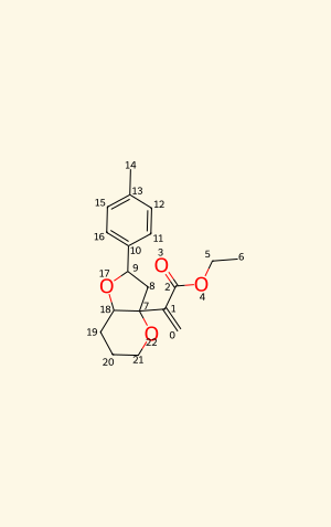 C=C(C(=O)OCC)C12CC(c3ccc(C)cc3)OC1CCCO2